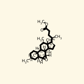 COC(=O)CC[C@@H](C)[C@H]1CC[C@H]2[C@@H]3[C@@H]4O[C@@H]4[C@@H]4C[C@H](C)CC[C@]4(C)[C@H]3C[C@H](C)[C@]12C